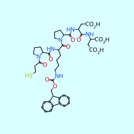 O=C(O)CC(NC(=O)C(CC(=O)O)NC(=O)C1CCCN1C(=O)C(CCCCNC(=O)OCC1c2ccccc2-c2ccccc21)NC(=O)C1CCCN1C(=O)CCS)C(=O)O